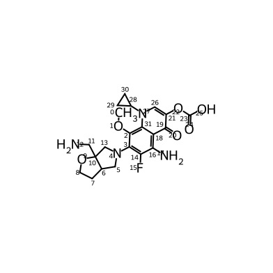 COc1c(N2CC3CCOC3(CN)C2)c(F)c(N)c2c(=O)c(OC(=O)O)cn(C3CC3)c12